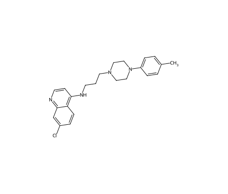 Cc1ccc(N2CCN(CCCNc3ccnc4cc(Cl)ccc34)CC2)cc1